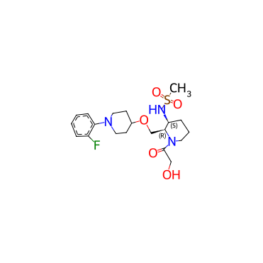 CS(=O)(=O)N[C@H]1CCCN(C(=O)CO)[C@H]1COC1CCN(c2ccccc2F)CC1